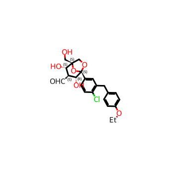 CCOc1ccc(Cc2cc([C@]34OC[C@](CO)(O3)[C@@H](O)[C@H](C=O)[C@H]4O)ccc2Cl)cc1